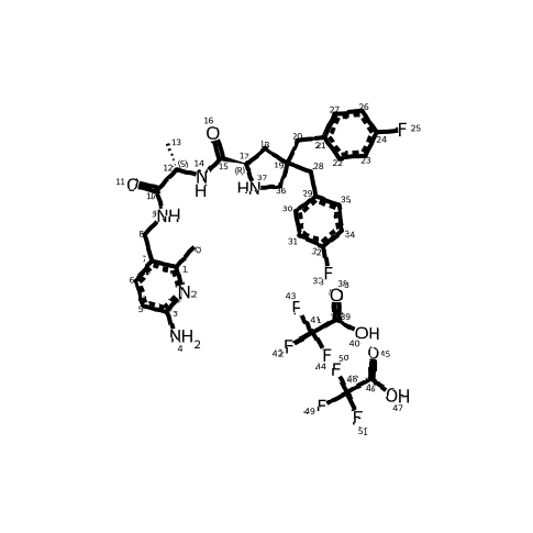 Cc1nc(N)ccc1CNC(=O)[C@H](C)NC(=O)[C@H]1CC(Cc2ccc(F)cc2)(Cc2ccc(F)cc2)CN1.O=C(O)C(F)(F)F.O=C(O)C(F)(F)F